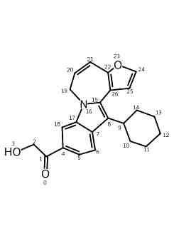 O=C(CO)c1ccc2c(C3CCCCC3)c3n(c2c1)CC=Cc1occc1-3